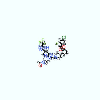 CC(=O)N1CC(Cn2c(CN3CCC(c4cccc5c4OC(C)(c4ccc(Cl)cc4F)O5)CC3)nc3cc(-c4nnc(C(F)(F)F)[nH]4)cnc32)C1